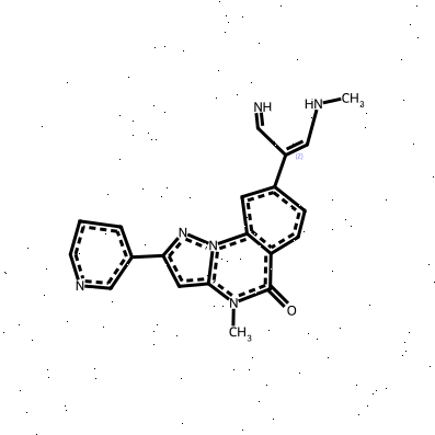 CN/C=C(\C=N)c1ccc2c(=O)n(C)c3cc(-c4cccnc4)nn3c2c1